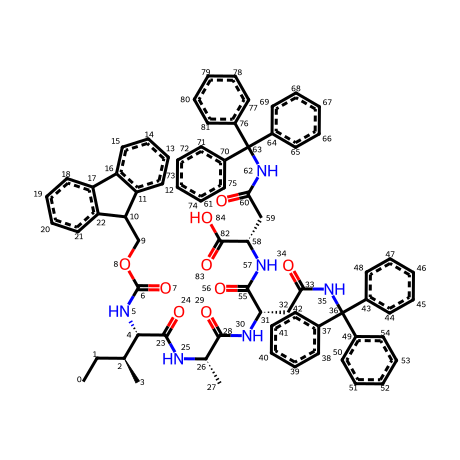 CC[C@H](C)[C@H](NC(=O)OCC1c2ccccc2-c2ccccc21)C(=O)N[C@@H](C)C(=O)N[C@@H](CC(=O)NC(c1ccccc1)(c1ccccc1)c1ccccc1)C(=O)N[C@@H](CC(=O)NC(c1ccccc1)(c1ccccc1)c1ccccc1)C(=O)O